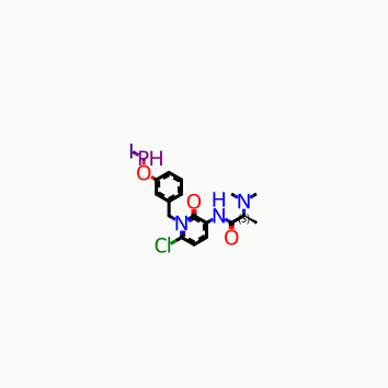 C[C@@H](C(=O)Nc1ccc(Cl)n(Cc2cccc(OPI)c2)c1=O)N(C)C